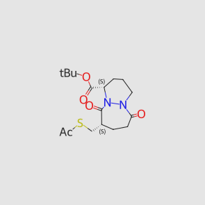 CC(=O)SC[C@H]1CCC(=O)N2CCC[C@@H](C(=O)OC(C)(C)C)N2C1=O